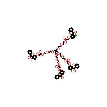 O=C(COc1ccc(F)c2c(=O)c3ccccc3sc12)OCCOCCOCC(COCCOCCOC(=O)COc1ccc(F)c2c(=O)c3ccccc3sc12)(COCCOCCOC(=O)COc1ccc(F)c2c(=O)c3ccccc3sc12)COCCOCCOC(=O)COc1ccc(F)c2c(=O)c3ccccc3sc12